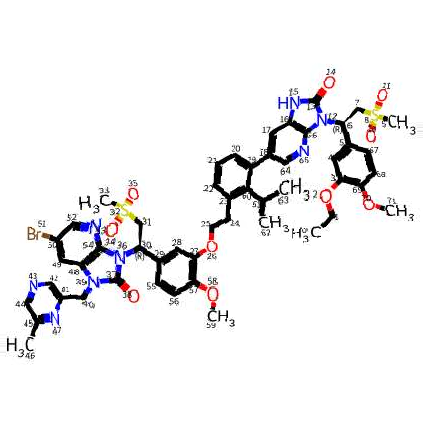 CCOc1cc([C@H](CS(C)(=O)=O)n2c(=O)[nH]c3cc(-c4cccc(CCOc5cc([C@H](CS(C)(=O)=O)n6c(=O)n(Cc7cncc(C)n7)c7cc(Br)cnc76)ccc5OC)c4C(C)C)cnc32)ccc1OC